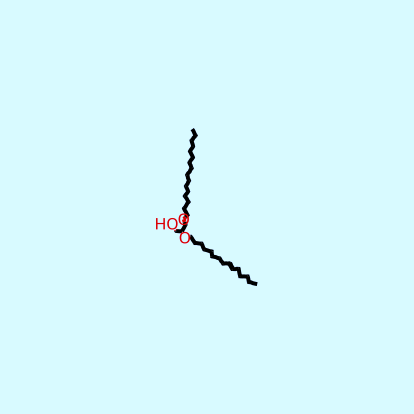 CCCCCC=CCCCCCCCCOC(CO)COCCCCCCCCCCCCCCCC